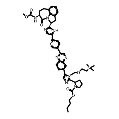 CCCCOC(=O)N1CCCC1c1ncc(-c2ccc3nc(-c4ccc(-c5cnc([C@@H]6Cc7cccc8c7N6C(=O)[C@@H](NC(=O)OC)CC8)[nH]5)cc4)cnc3c2)n1COCC[Si](C)(C)C